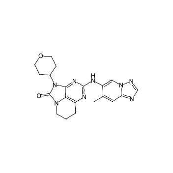 Cc1cc2ncnn2cc1Nc1nc2c3c(n1)n(C1CCOCC1)c(=O)n3CCC2